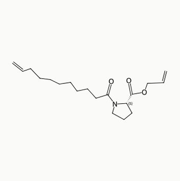 C=CCCCCCCCCC(=O)N1CCC[C@H]1C(=O)OCC=C